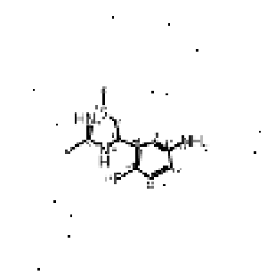 CSCC(NC(C)=N)c1cc(N)ccc1F